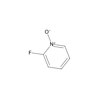 [O-][n+]1ccccc1F